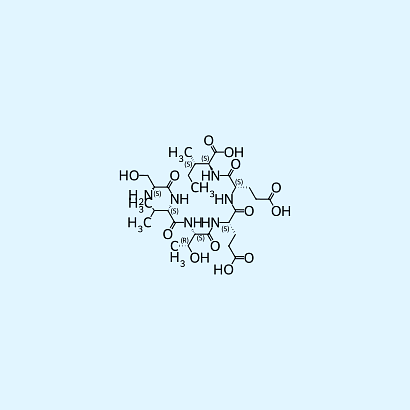 CC[C@H](C)[C@H](NC(=O)[C@H](CCC(=O)O)NC(=O)[C@H](CCC(=O)O)NC(=O)[C@@H](NC(=O)[C@@H](NC(=O)[C@@H](N)CO)C(C)C)[C@@H](C)O)C(=O)O